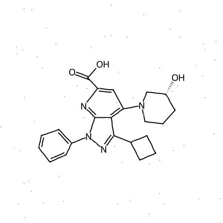 O=C(O)c1cc(N2CCC[C@@H](O)C2)c2c(C3CCC3)nn(-c3ccccc3)c2n1